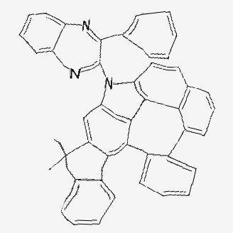 CC1(C)c2ccccc2-c2c1cc1c3c2-c2ccccc2-c2cccc4ccc(c3c24)n1-c1nc2ccccc2nc1-c1ccccc1